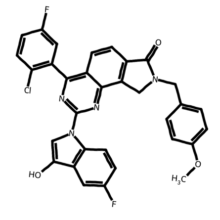 COc1ccc(CN2Cc3c(ccc4c(-c5cc(F)ccc5Cl)nc(-n5cc(O)c6cc(F)ccc65)nc34)C2=O)cc1